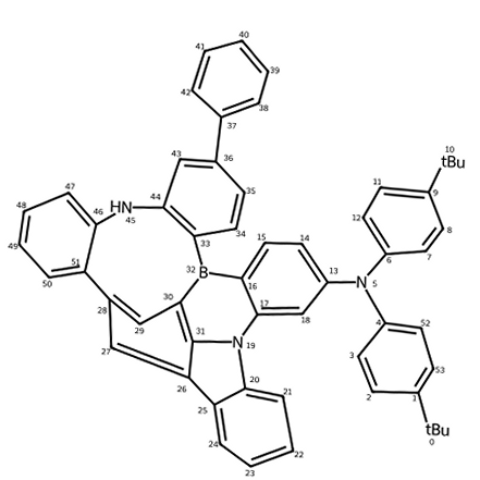 CC(C)(C)c1ccc(N(c2ccc(C(C)(C)C)cc2)c2ccc3c(c2)-n2c4ccccc4c4cc5cc(c42)B3c2ccc(-c3ccccc3)cc2Nc2ccccc2-5)cc1